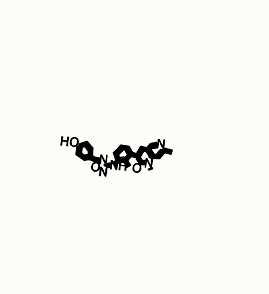 Cc1cc2c(cn1)cc(-c1cccc(Nc3noc(-c4ccc(O)cc4)n3)c1C)c(=O)n2C